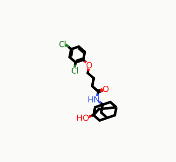 O=C(CCCOc1ccc(Cl)cc1Cl)NC12CC3CC(CC(O)(C3)C1)C2